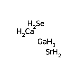 [CaH2].[GaH3].[SeH2].[SrH2]